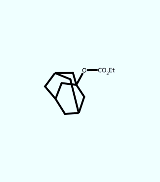 CCOC(=O)OC12CC3CC(CC(C3)C1)C2